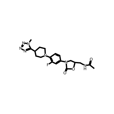 CC(=O)NCC1CN(c2ccc(N3CCC(c4nnnn4C)CC3)c(F)c2)C(=O)O1